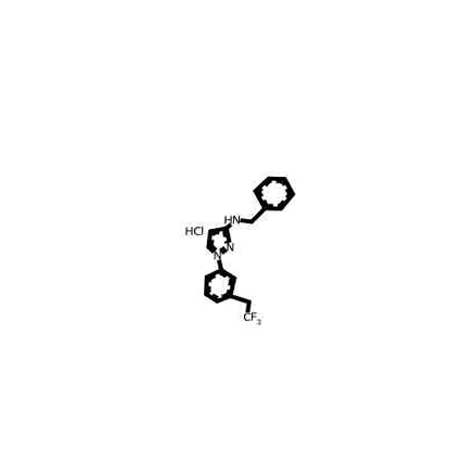 Cl.FC(F)(F)Cc1cccc(-n2ccc(NCc3ccccc3)n2)c1